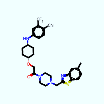 Cc1ccc2sc(CN3CCN(C(=O)CO[C@H]4CC[C@H](Nc5ccc(C#N)c(C(F)(F)F)c5)CC4)CC3)nc2c1